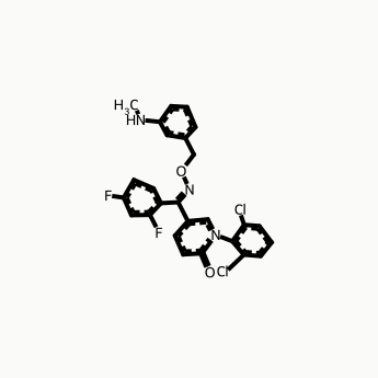 CNc1cccc(CON=C(c2ccc(=O)n(-c3c(Cl)cccc3Cl)c2)c2ccc(F)cc2F)c1